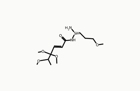 COCCC[SiH](N)NC(=O)C=CC(OC)(OC)C(C)OC